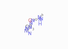 Cn1cnc(C#N)c1CN1CC2(C1)CN(C(=O)N1CC3(CC(c4nc(C5CC5)n[nH]4)C3)C1)C2